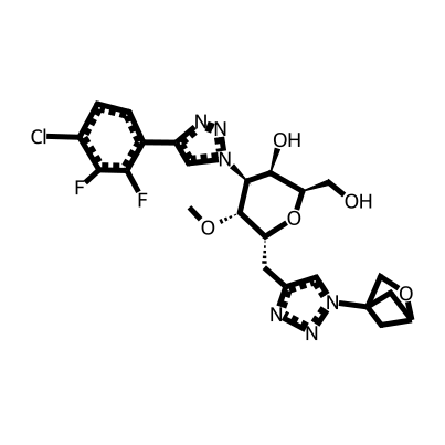 CO[C@@H]1[C@@H](n2cc(-c3ccc(Cl)c(F)c3F)nn2)[C@@H](O)[C@@H](CO)O[C@@H]1Cc1cn(C23COC(C2)C3)nn1